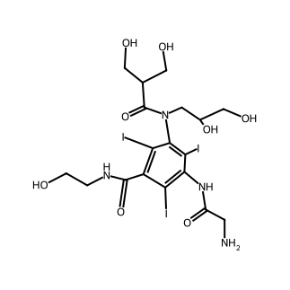 NCC(=O)Nc1c(I)c(C(=O)NCCO)c(I)c(N(CC(O)CO)C(=O)C(CO)CO)c1I